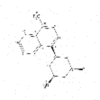 C[C@H]1C[C@@H](N)C[C@@H](c2ccc(C(F)(F)F)c3ncccc23)C1